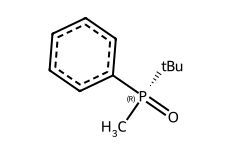 CC(C)(C)[P@@](C)(=O)c1ccccc1